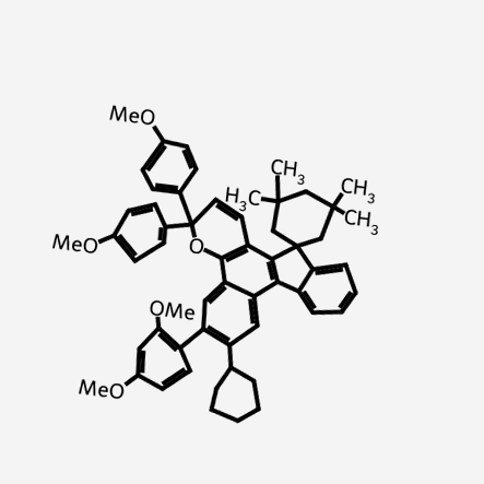 COc1ccc(C2(c3ccc(OC)cc3)C=Cc3c4c(c5cc(C6CCCCC6)c(-c6ccc(OC)cc6OC)cc5c3O2)-c2ccccc2C42CC(C)(C)CC(C)(C)C2)cc1